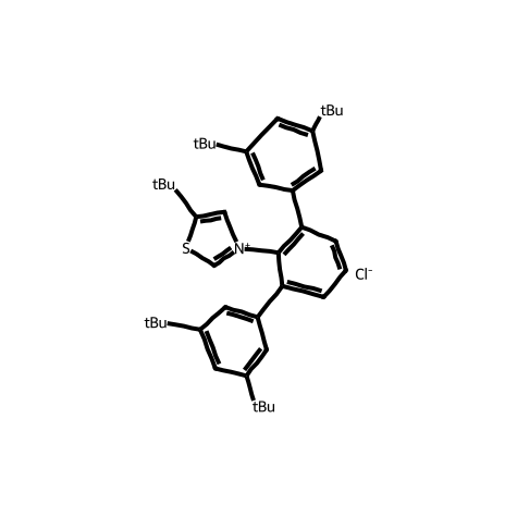 CC(C)(C)c1cc(-c2cccc(-c3cc(C(C)(C)C)cc(C(C)(C)C)c3)c2-[n+]2csc(C(C)(C)C)c2)cc(C(C)(C)C)c1.[Cl-]